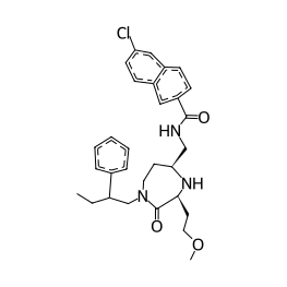 CCC(CN1CC[C@@H](CNC(=O)c2ccc3cc(Cl)ccc3c2)N[C@@H](CCOC)C1=O)c1ccccc1